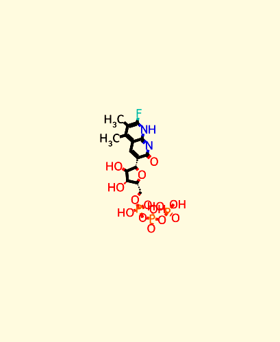 Cc1c2cc([C@@H]3O[C@H](COP(=O)(O)OP(=O)(O)OP(=O)(O)O)[C@H](O)C3O)c(=O)nc-2[nH]c(F)c1C